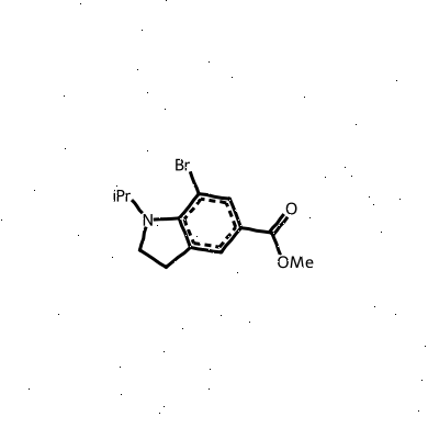 COC(=O)c1cc(Br)c2c(c1)CCN2C(C)C